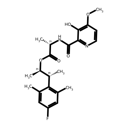 COc1ccnc(C(=O)N[C@@H](C)C(=O)O[C@H](C)[C@H](C)c2c(C)cc(F)cc2C)c1O